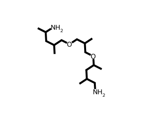 CC(N)CC(C)COCC(C)COC(C)CC(C)CN